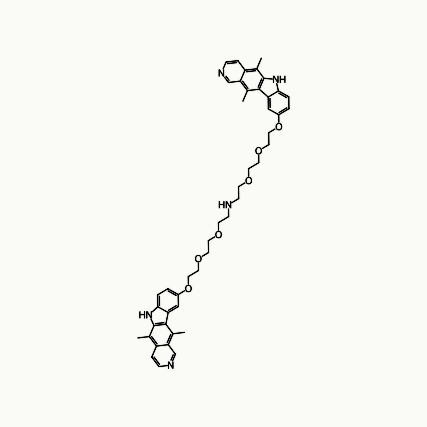 Cc1c2ccncc2c(C)c2c1[nH]c1ccc(OCCOCCOCCNCCOCCOCCOc3ccc4[nH]c5c(C)c6ccncc6c(C)c5c4c3)cc12